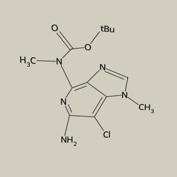 CN(C(=O)OC(C)(C)C)c1nc(N)c(Cl)c2c1ncn2C